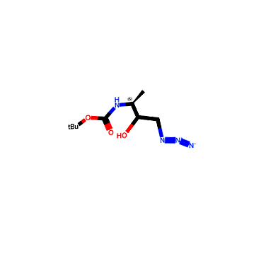 C[C@H](NC(=O)OC(C)(C)C)C(O)CN=[N+]=[N-]